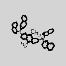 Cc1c2ccc(N(c3ccc4ccccc4c3)c3ccc4ccccc4c3)cc2c(C)c2cc(N(c3ccc4ccccc4c3)c3cccc4ccccc34)ccc12